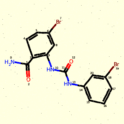 NC(=O)c1ccc(Br)cc1NC(=O)Nc1cccc(Br)c1